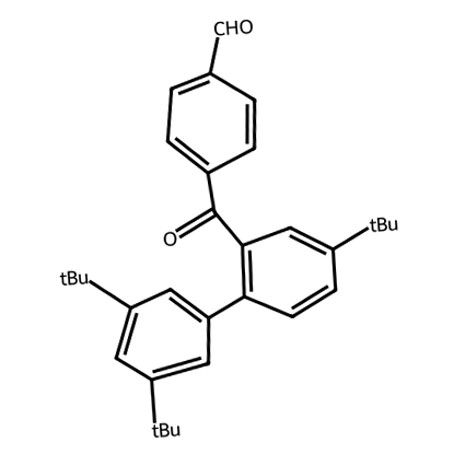 CC(C)(C)c1cc(-c2ccc(C(C)(C)C)cc2C(=O)c2ccc(C=O)cc2)cc(C(C)(C)C)c1